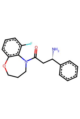 N[C@@H](CC(=O)N1CCCOc2cccc(F)c21)c1ccccc1